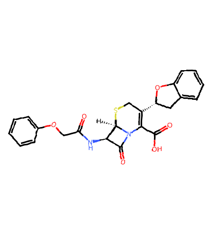 O=C(COc1ccccc1)N[C@@H]1C(=O)N2C(C(=O)O)=C([C@H]3Cc4ccccc4O3)CS[C@H]12